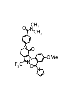 COc1ccc(-n2nc(C(F)(F)F)c3c2C(=O)N(c2ccc(C(=O)N(C)C)cc2)CC3)c(C(=O)N2CC=CC2)c1